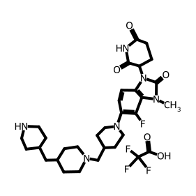 Cn1c(=O)n(C2CCC(=O)NC2=O)c2ccc(N3CCC(CN4CCC(CC5CCNCC5)CC4)CC3)c(F)c21.O=C(O)C(F)(F)F